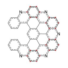 c1ccc2c(-c3cc(-c4c5ccccc5nc5ccccc45)c(-c4c5ccccc5nc5ccccc45)c(-c4c5ccccc5nc5ccccc45)c3-c3c4ccccc4nc4ccccc34)c3ccccc3nc2c1